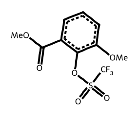 COC(=O)c1cccc(OC)c1OS(=O)(=O)C(F)(F)F